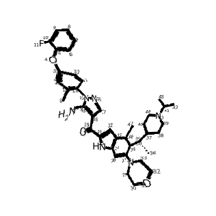 Cc1cc(Oc2ccccc2F)ccc1-n1ncc(C(=O)c2cc3c([nH]2)C=C(N2CCOCC2)C([C@@H](C)C2CCN(C(C)C)CC2)C3C)c1N